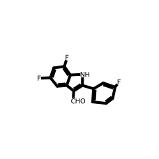 O=Cc1c(-c2cccc(F)c2)[nH]c2c(F)cc(F)cc12